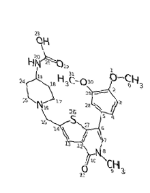 COc1ccc(-c2cn(C)c(=O)c3cc(CN4CCC(NC(=O)O)CC4)sc23)cc1OC